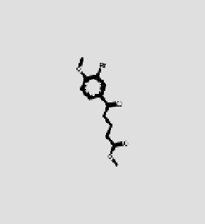 COC(=O)CCCC(=O)c1ccc(OC)c(Br)c1